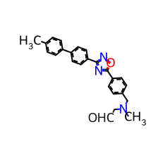 Cc1ccc(-c2ccc(-c3noc(-c4ccc(CN(C)CC=O)cc4)n3)cc2)cc1